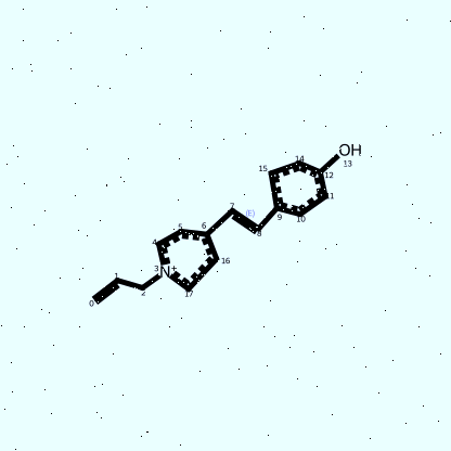 C=CC[n+]1ccc(/C=C/c2ccc(O)cc2)cc1